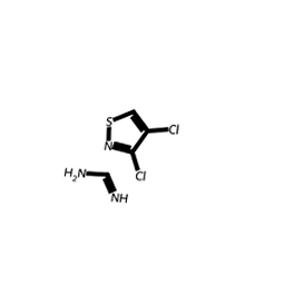 Clc1csnc1Cl.N=CN